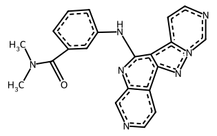 CN(C)C(=O)c1cccc(Nc2nc3cnccc3c3nn4cnccc4c23)c1